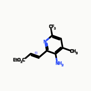 CCOC(=O)/C=C/c1nc(C(F)(F)F)cc(C)c1N